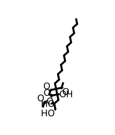 CCCCCCCCCCCCCCCC(C(C)=O)(C(C)=O)C(O)(CC(O)CO)C(=O)OC(C)=O